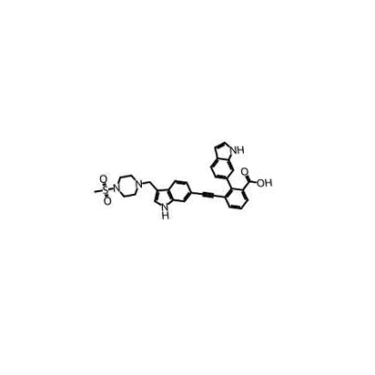 CS(=O)(=O)N1CCN(Cc2c[nH]c3cc(C#Cc4cccc(C(=O)O)c4-c4ccc5cc[nH]c5c4)ccc23)CC1